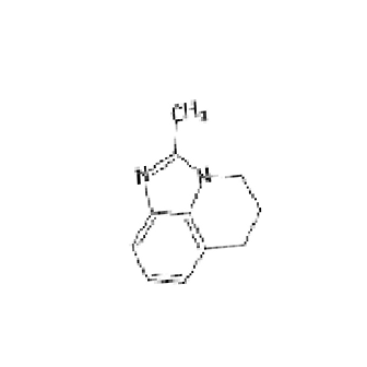 Cc1nc2cccc3c2n1CCC3